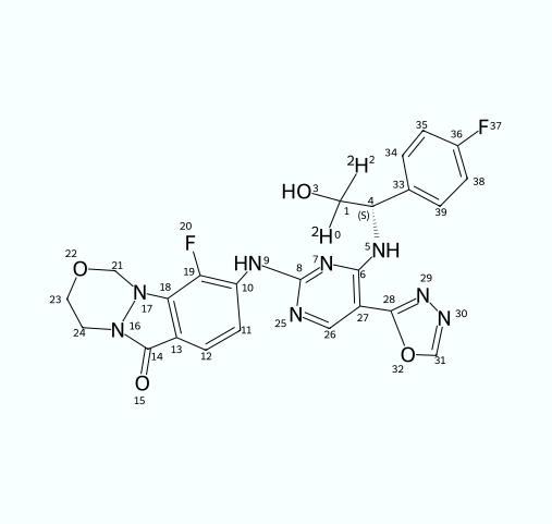 [2H]C([2H])(O)[C@@H](Nc1nc(Nc2ccc3c(=O)n4n(c3c2F)COCC4)ncc1-c1nnco1)c1ccc(F)cc1